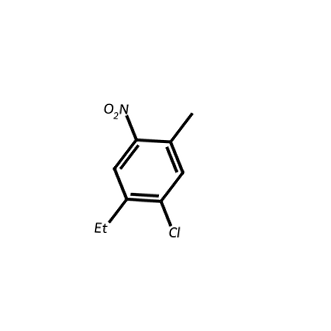 CCc1cc([N+](=O)[O-])c(C)cc1Cl